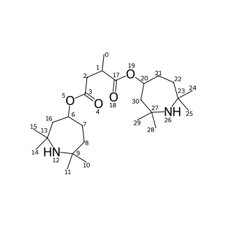 CC(CC(=O)OC1CCC(C)(C)NC(C)(C)C1)C(=O)OC1CCC(C)(C)NC(C)(C)C1